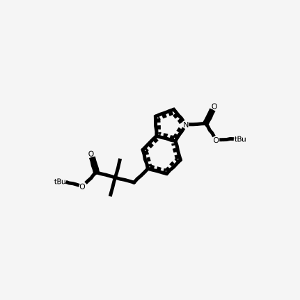 CC(C)(C)OC(=O)n1ccc2cc(CC(C)(C)C(=O)OC(C)(C)C)ccc21